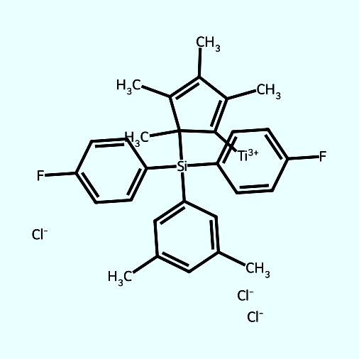 CC1=C(C)C(C)([Si](c2ccc(F)cc2)(c2ccc(F)cc2)c2cc(C)cc(C)c2)[C]([Ti+3])=C1C.[Cl-].[Cl-].[Cl-]